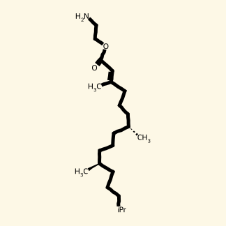 C/C(=C\C(=O)OCCN)CCC[C@H](C)CCC[C@H](C)CCCC(C)C